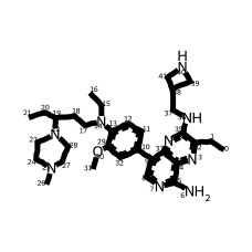 CCc1nc2c(N)ncc(-c3ccc(N(CC)CCC(CC)N4CCN(C)CC4)c(OC)c3)c2nc1NCC1CNC1